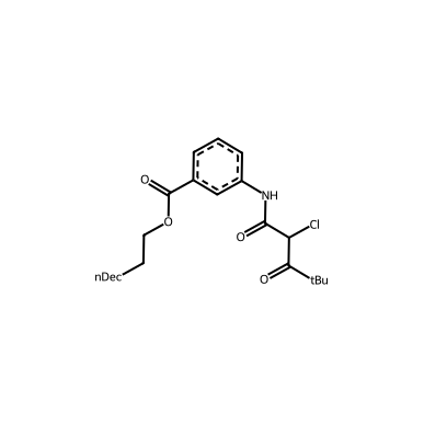 CCCCCCCCCCCCOC(=O)c1cccc(NC(=O)C(Cl)C(=O)C(C)(C)C)c1